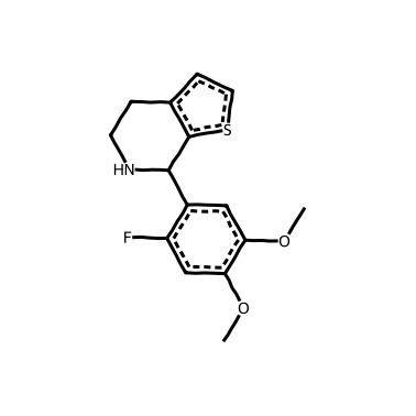 COc1cc(F)c(C2NCCc3ccsc32)cc1OC